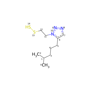 CC(C)CCCc1cnnn1CCSS